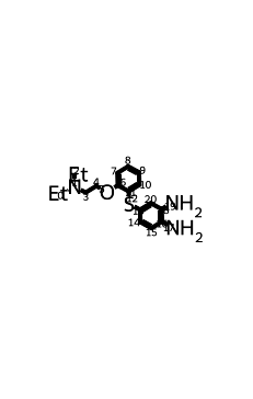 CCN(CC)CCOc1ccccc1Sc1ccc(N)c(N)c1